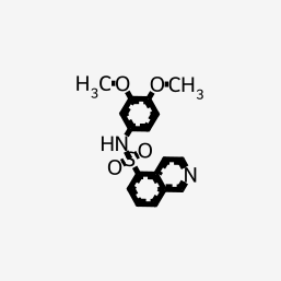 COc1ccc(NS(=O)(=O)c2cccc3cnccc23)cc1OC